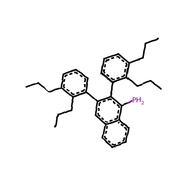 CCCc1cccc(-c2cc3ccccc3c(P)c2-c2cccc(CCC)c2CCC)c1CCC